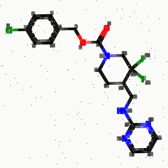 O=C(OCc1ccc(Cl)cc1)N1CCC(CNc2ncccn2)C(F)(F)C1